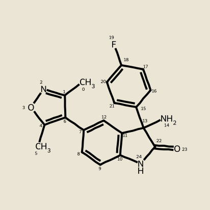 Cc1noc(C)c1-c1ccc2c(c1)C(N)(c1ccc(F)cc1)C(=O)N2